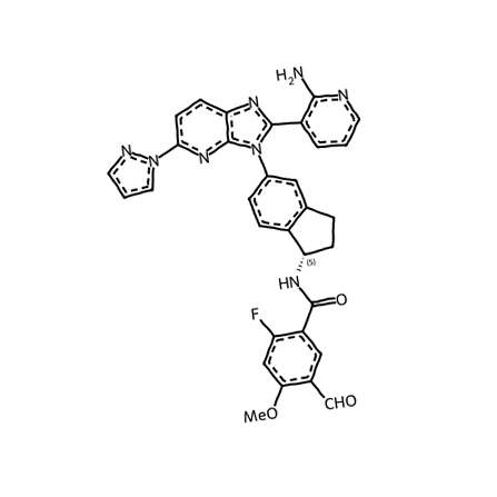 COc1cc(F)c(C(=O)N[C@H]2CCc3cc(-n4c(-c5cccnc5N)nc5ccc(-n6cccn6)nc54)ccc32)cc1C=O